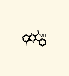 Cc1cccc2nc(C(C)O)c(-c3ccccc3)nc12